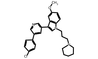 COc1ccc2c(c1)c(-c1cncc(-c3ccc(Cl)cc3)c1)cn2CCCN1CCCCC1